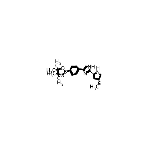 CS[C@@H]1CN[C@H](c2nc(-c3ccc(B4OC(C)(C)C(C)(C)O4)cc3)c[nH]2)C1